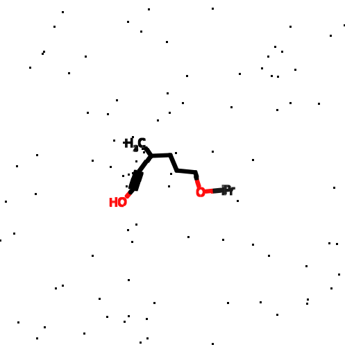 CC(C#CO)CCCOC(C)C